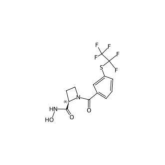 O=C(NO)[C@H]1CCN1C(=O)c1cccc(SC(F)(F)C(F)(F)F)c1